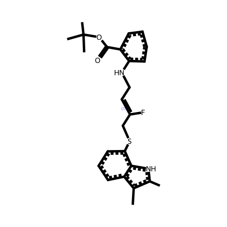 Cc1[nH]c2c(SC/C(F)=C/CNc3ccccc3C(=O)OC(C)(C)C)cccc2c1C